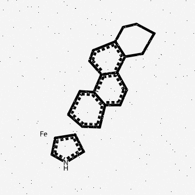 [Fe].c1cc[nH]c1.c1ccc2c(c1)ccc1c3c(ccc12)CCCC3